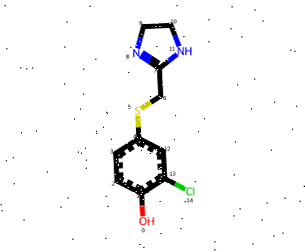 Oc1ccc(SCC2=NCCN2)cc1Cl